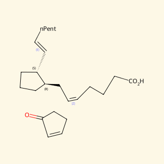 CCCCC/C=C/[C@H]1CCC[C@@H]1C/C=C\CCCC(=O)O.O=C1C=CCC1